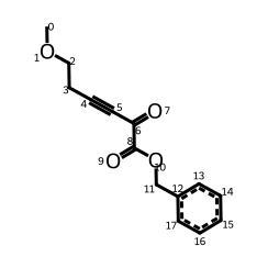 COCCC#CC(=O)C(=O)OCc1ccccc1